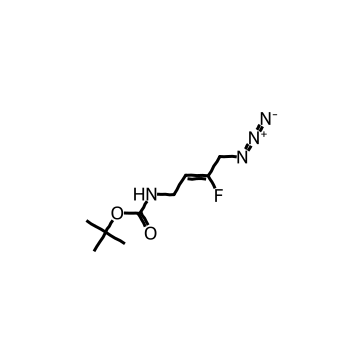 CC(C)(C)OC(=O)NC/C=C(\F)CN=[N+]=[N-]